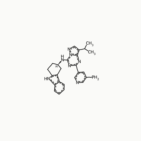 CC(C)c1cnn2c(N[C@@H]3CCc4[nH]c5ccccc5c4C3)nc(-c3cncc(P)c3)nc12